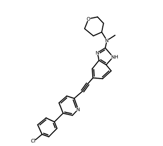 CN(c1nc2cc(C#Cc3ccc(-c4ccc(Cl)cc4)cn3)ccc2[nH]1)C1CCOCC1